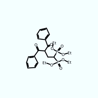 CCOP(=O)(OCC)C(CC(C(=O)c1ccccc1)C(=O)c1ccccc1)P(=O)(OCC)OCC